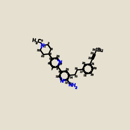 CN1CCC(c2ccc(-c3cnc(N)c(CCc4cccc(C#CC(C)(C)C)c4)c3)nc2)CC1